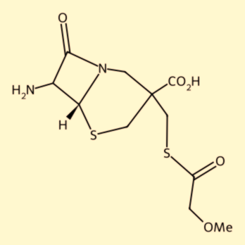 COCC(=O)SCC1(C(=O)O)CS[C@@H]2C(N)C(=O)N2C1